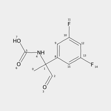 CC(C=O)(NC(=O)O)c1cc(F)cc(F)c1